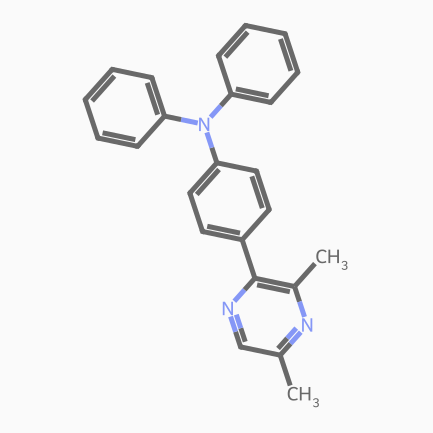 Cc1cnc(-c2ccc(N(c3ccccc3)c3ccccc3)cc2)c(C)n1